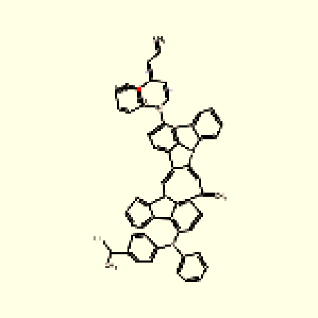 C=C/C=C(\C=C/N(c1ccccc1)c1ccc2c3cn4c5ccccc5c5c(N(c6ccccc6)c6ccc(C(C)C)cc6)ccc(c(=C)cc3n3c6ccccc6c1c23)c54)C(C)C